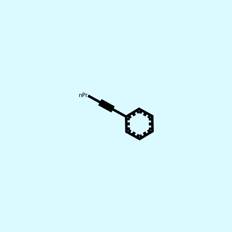 C[CH]CC#Cc1ccccc1